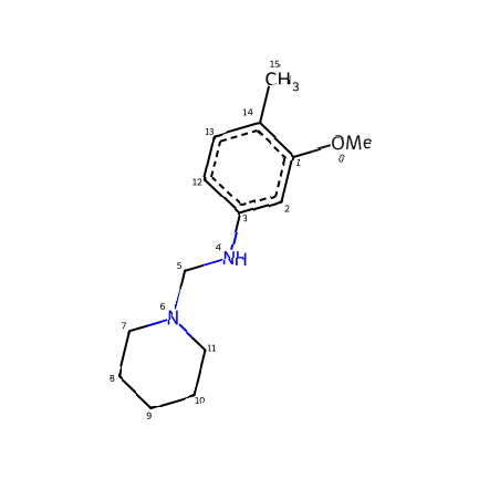 COc1cc(NCN2CCCCC2)ccc1C